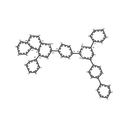 c1ccc(-c2ccc(-c3cc(-c4ccccc4)nc(-c4ccc(-c5cc(-c6ccccc6)c6c(ccc7ccccc76)n5)cc4)n3)cc2)cc1